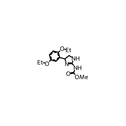 CCOc1ccc(OCC)c(C2CNC(NC(=O)OC)=N2)c1